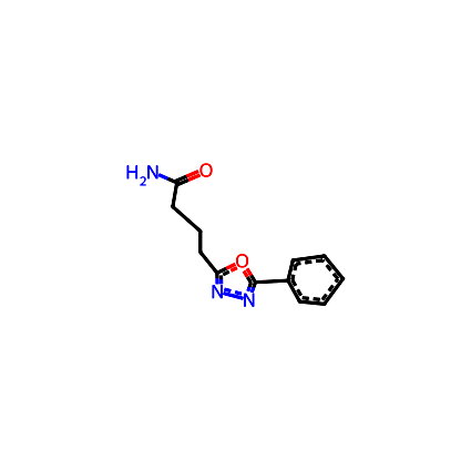 NC(=O)CCCc1nnc(-c2ccccc2)o1